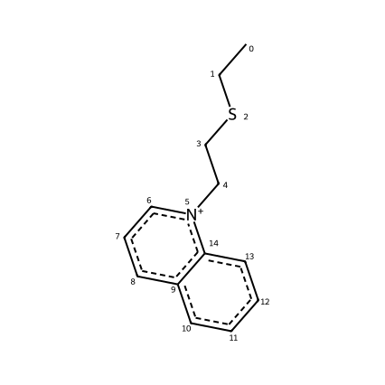 CCSCC[n+]1cccc2ccccc21